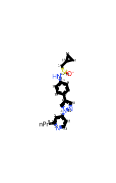 CCCc1cc(-n2cc(-c3ccc(N[S+]([O-])CC4CC4)cc3)cn2)ccn1